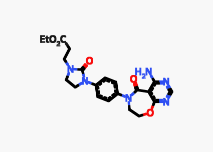 CCOC(=O)CCN1CCN(c2ccc(N3CCOc4ncnc(N)c4C3=O)cc2)C1=O